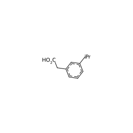 CC(C)c1cccc(CC(=O)O)c1